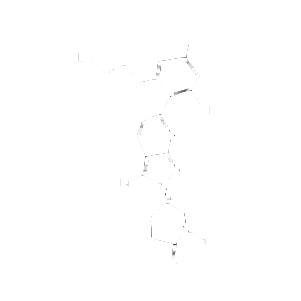 CCOCOc1cc(C(F)(F)F)cc(C)c1-c1ccc2c(Br)n([C@@H]3CCC(=O)N(C(C)C)C3)nc2n1